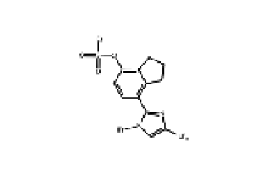 CCS(=O)(=O)Oc1ccc(-c2nc(C(F)(F)F)cn2C(C)C)c2c1CCC2